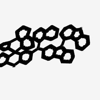 c1ccc2c(c1)Sc1ccc(N(c3ccc4c5ccccc5n(-c5cccc6sc7ccccc7c56)c4c3)c3cccc4ccccc34)cc1C21c2ccccc2-c2cccc3cccc1c23